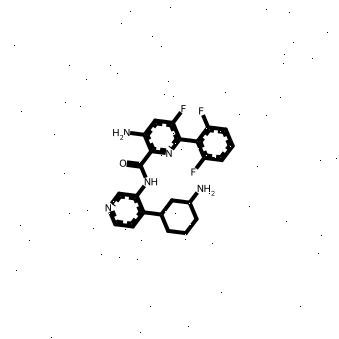 Nc1cc(F)c(-c2c(F)cccc2F)nc1C(=O)Nc1cnccc1C1CCCC(N)C1